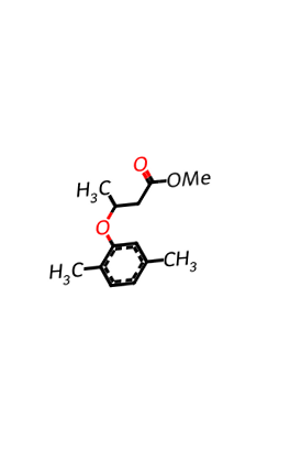 COC(=O)CC(C)Oc1cc(C)ccc1C